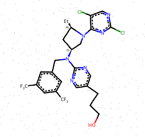 CC[C@@H]1C[C@H](N(Cc2cc(C(F)(F)F)cc(C(F)(F)F)c2)c2ncc(CCCO)cn2)CN1c1nc(Cl)ncc1Cl